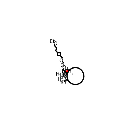 BC1(CCC)CCCCCCCCCCCCCCCC(C)(I)C(B)(C(C)(C)COOCOCC2CC(CCCOCC)C2)C1